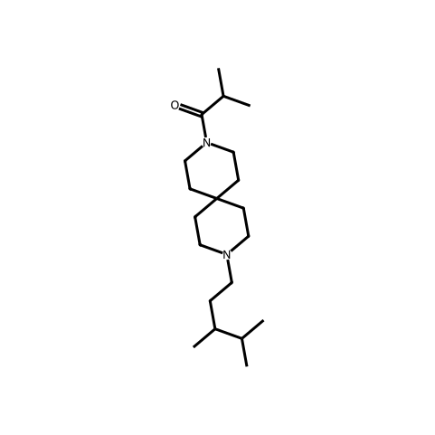 CC(C)C(=O)N1CCC2(CCN(CCC(C)C(C)C)CC2)CC1